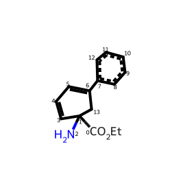 CCOC(=O)C1(N)C=CC=C(c2ccccc2)C1